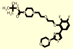 CC(C)(C)OC(=O)N1CCN(CCOCCOc2c(-c3csc(N4CCOCC4)n3)ccc(F)c2F)CC1